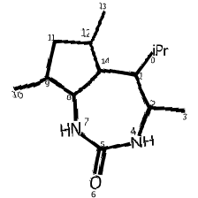 CC(C)C1C(C)NC(=O)NC2C(C)CC(C)C21